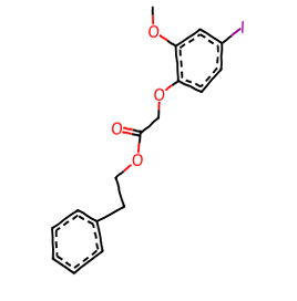 COc1cc(I)ccc1OCC(=O)OCCc1ccccc1